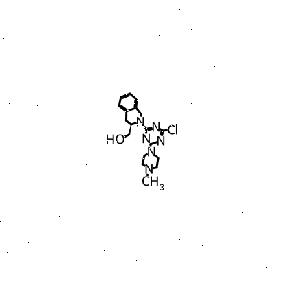 CN1CCN(c2nc(Cl)nc(N3Cc4ccccc4C[C@@H]3CO)n2)CC1